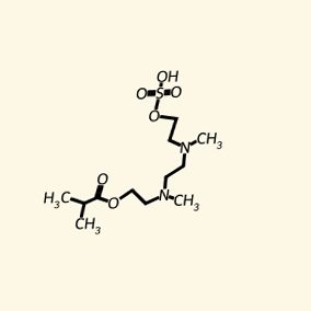 CC(C)C(=O)OCCN(C)CCN(C)CCOS(=O)(=O)O